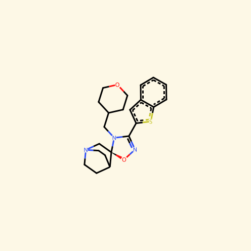 c1ccc2sc(C3=NO[C@@]4(CN5CCC4CC5)N3CC3CCOCC3)cc2c1